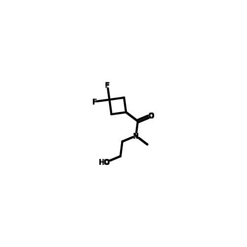 CN(CCO)C(=O)C1CC(F)(F)C1